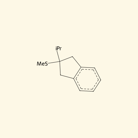 CSC1(C(C)C)Cc2ccccc2C1